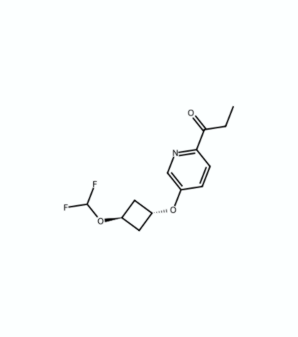 CCC(=O)c1ccc(O[C@H]2C[C@H](OC(F)F)C2)cn1